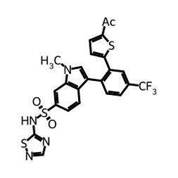 CC(=O)c1ccc(-c2cc(C(F)(F)F)ccc2-c2cn(C)c3cc(S(=O)(=O)Nc4ncns4)ccc23)s1